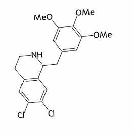 COc1cc(CC2NCCc3cc(Cl)c(Cl)cc32)cc(OC)c1OC